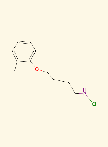 Cc1ccccc1OCCCCPCl